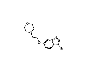 Brc1cnn2cc(OCCN3CCOCC3)ccc12